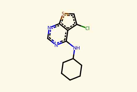 Clc1csc2ncnc(NC3CCCCC3)c12